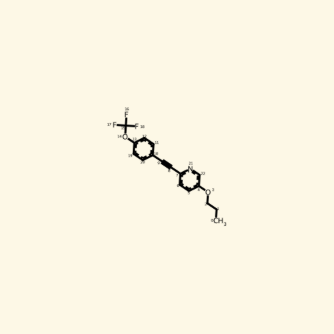 CCCOc1ccc(C#Cc2ccc(OC(F)(F)F)cc2)nc1